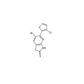 S=c1[nH]c2nc(-c3sccc3Cl)c(Br)cc2s1